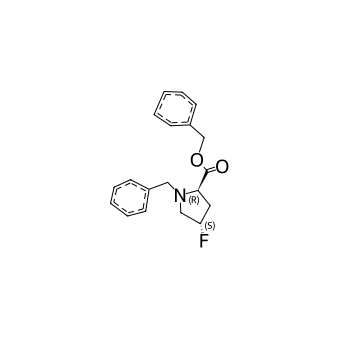 O=C(OCc1ccccc1)[C@H]1C[C@H](F)CN1Cc1ccccc1